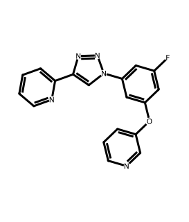 Fc1cc(Oc2cccnc2)cc(-n2cc(-c3ccccn3)nn2)c1